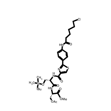 COC(=O)[C@H](COC(C)=O)NC(=O)[C@H](CO[Si](C)(C)C(C)(C)C)NC(=O)c1csc(-c2ccc(NC(=O)CCCCCCl)cc2)n1